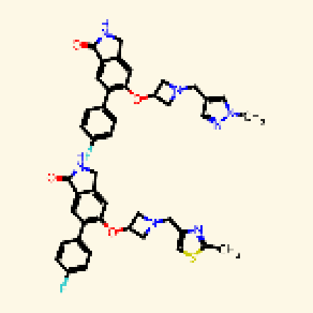 Cc1nc(CN2CC(Oc3cc4c(cc3-c3ccc(F)cc3)C(=O)NC4)C2)cs1.Cn1cc(CN2CC(Oc3cc4c(cc3-c3ccc(F)cc3)C(=O)NC4)C2)cn1